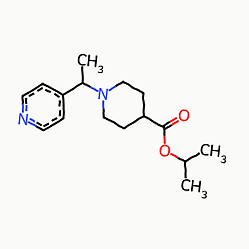 CC(C)OC(=O)C1CCN(C(C)c2ccncc2)CC1